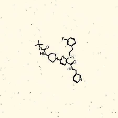 CC(C)(C)OC(=O)NC1CCN(c2ccc(C(=O)NCc3cccnc3)c(NCCc3cccc(F)c3)n2)CC1